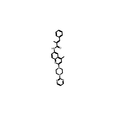 C/C(=C\c1ccccc1)C(=O)Nc1ccc2nc(N3CCN(c4ncccn4)CC3)cc(C)c2c1